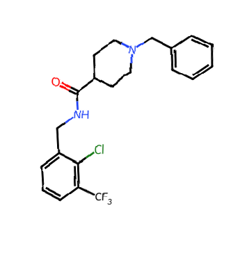 O=C(NCc1cccc(C(F)(F)F)c1Cl)C1CCN(Cc2ccccc2)CC1